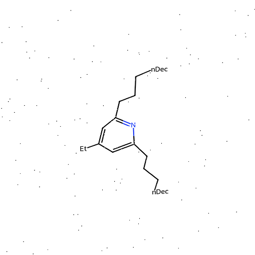 [CH2]Cc1cc(CCCCCCCCCCCCC)nc(CCCCCCCCCCCCC)c1